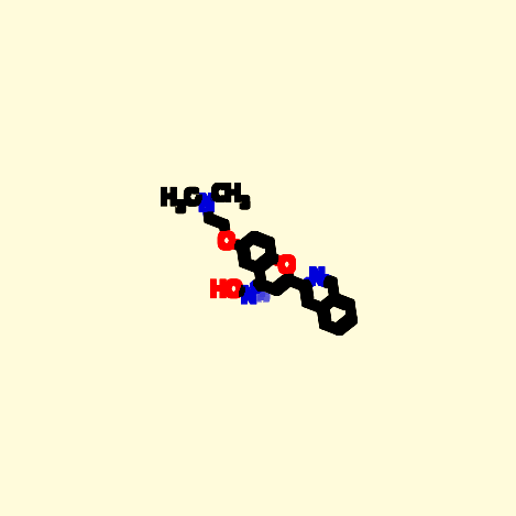 CN(C)CCOc1ccc2oc(-c3cc4ccccc4cn3)c/c(=N/O)c2c1